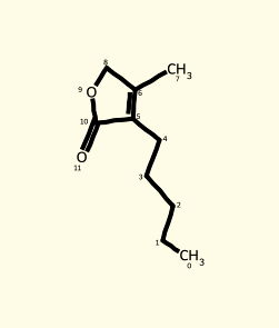 CCCCCC1=C(C)COC1=O